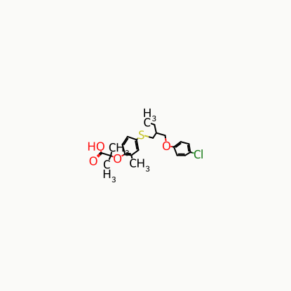 CCC(COc1ccc(Cl)cc1)CSc1ccc(OC(C)(C)C(=O)O)c(C)c1